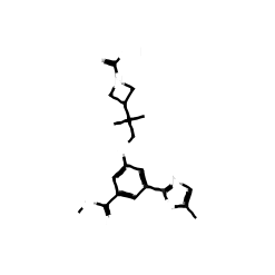 COC(=O)c1cc(OCC(C)(C)C2CN(C(=O)O)C2)cc(-c2ncc(C)s2)c1